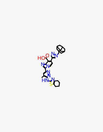 Cc1cc(-c2cnc3c(C(=O)O)c(-c4cnn(CC56CC7CC(CC(C7)C5)C6)c4)ccn23)nnc1Nc1nc2c(s1)CCCC2